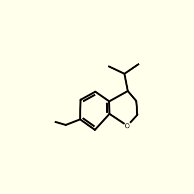 CCc1ccc2c(c1)OCCC2C(C)C